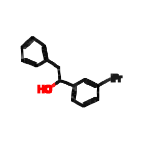 CC(C)c1cccc(C(O)Cc2ccccc2)c1